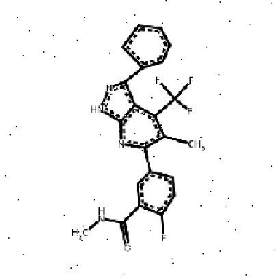 CNC(=O)c1cc(-c2nc3[nH]nc(-c4ccccc4)c3c(C(F)(F)F)c2C)ccc1F